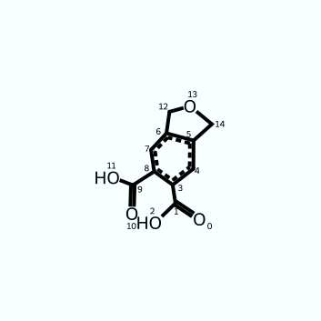 O=C(O)c1cc2c(cc1C(=O)O)COC2